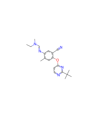 CCN(C)/C=N/c1cc(C#N)c(Oc2ccnc(C(C)(C)C)n2)cc1C